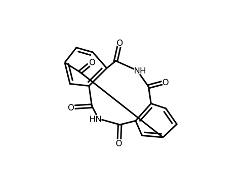 O=C1c2ccc3c(c2)C(=O)NC(=O)c2cc1ccc2C(=O)NC3=O